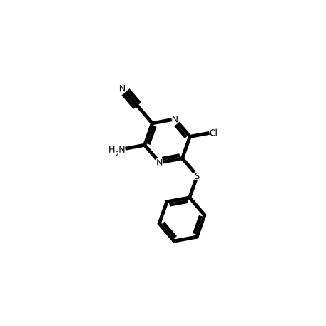 N#Cc1nc(Cl)c(Sc2ccccc2)nc1N